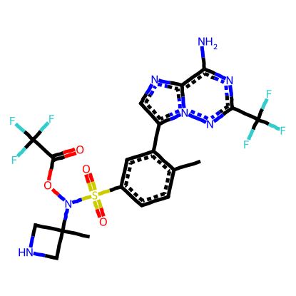 Cc1ccc(S(=O)(=O)N(OC(=O)C(F)(F)F)C2(C)CNC2)cc1-c1cnc2c(N)nc(C(F)(F)F)nn12